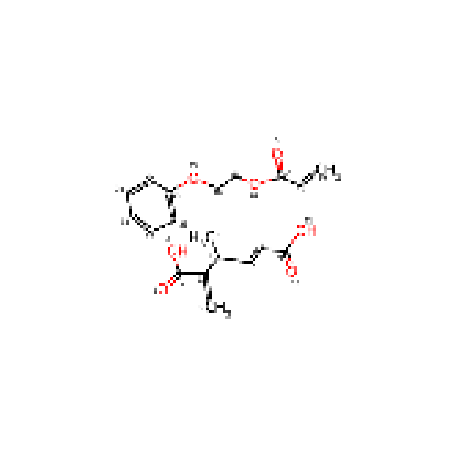 C=C(C(=O)O)C(C)C=CC(=O)O.C=CC(=O)OCCOc1ccccc1